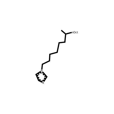 CCCCCCCCC(C)CCCCCCn1ccnc1